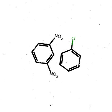 Clc1ccccc1.O=[N+]([O-])c1cccc([N+](=O)[O-])c1